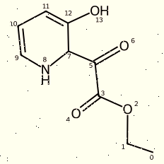 CCOC(=O)C(=O)C1NC=CC=C1O